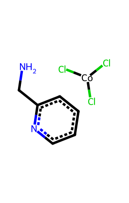 NCc1ccccn1.[Cl][Co]([Cl])[Cl]